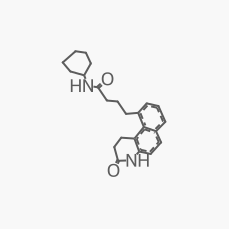 O=C1CCc2c(ccc3cccc(CCCC(=O)NC4CCCCC4)c23)N1